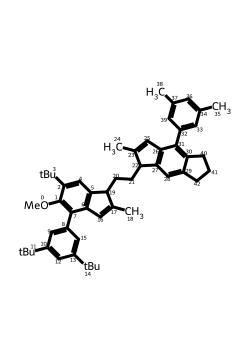 COc1c(C(C)(C)C)cc2c(c1-c1cc(C(C)(C)C)cc(C(C)(C)C)c1)C=C(C)C2CCC1C(C)=Cc2c1cc1c(c2-c2cc(C)cc(C)c2)CCC1